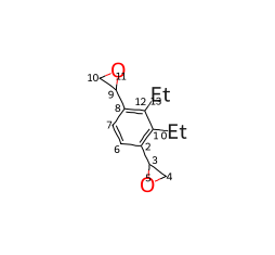 CCc1c(C2CO2)ccc(C2CO2)c1CC